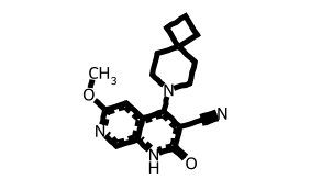 COc1cc2c(N3CCC4(CCC4)CC3)c(C#N)c(=O)[nH]c2cn1